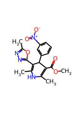 COC(=O)C1=C(C)NC(C)=C(c2nnc(C)o2)C1c1cccc([N+](=O)[O-])c1